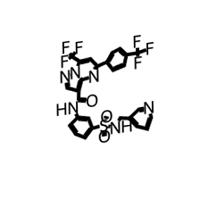 O=C(Nc1cccc(S(=O)(=O)NCc2cccnc2)c1)c1cnn2c(C(F)(F)F)cc(-c3ccc(C(F)(F)F)cc3)nc12